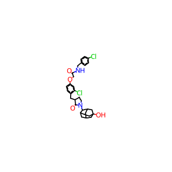 O=C(COc1ccc(CC2CCN(C3C4CC5CC3CC(O)(C5)C4)C2=O)c(Cl)c1)NCc1ccc(Cl)cc1